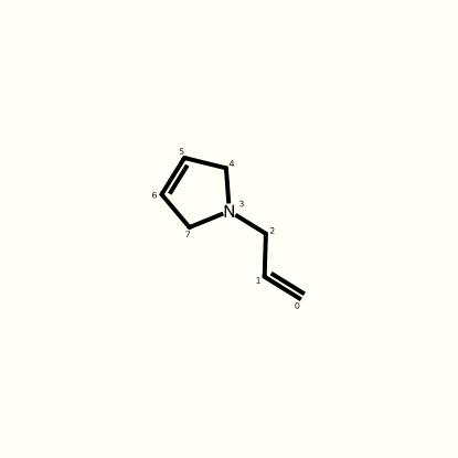 C=CCN1CC=CC1